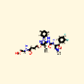 CCN1C[C@@H](NC(=O)Nc2c(C)c(OCCCC(=O)NCCO)nn2-c2ccccc2)[C@H](c2ccc(F)c(F)c2)O1